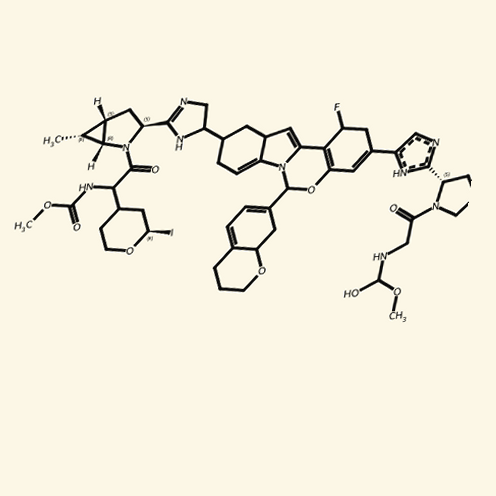 COC(=O)NC(C(=O)N1[C@@H]2[C@H](C)[C@@H]2C[C@H]1C1=NCC(C2CC=C3C(C=C4C5=C(C=C(c6cnc([C@@H]7CCCN7C(=O)CNC(O)OC)[nH]6)CC5F)OC(C5=CC=C6CCCOC6C5)N43)C2)N1)C1CCO[C@H](I)C1